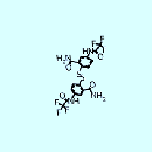 NC(=O)c1cc(NC(=O)C(F)(F)F)ccc1SSc1ccc(NC(=O)C(F)(F)F)cc1C(N)=O